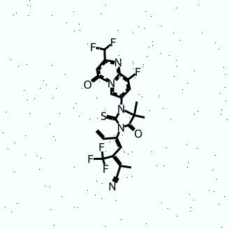 C=C/C(=C\C(=C(/C)C#N)C(F)(F)F)N1C(=O)C(C)(C)N(c2cc(F)c3nc(C(F)F)cc(=O)n3c2)C1=S